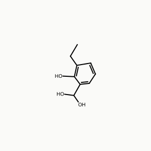 CCc1cccc(C(O)O)c1O